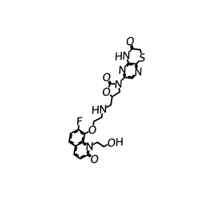 O=C1CSc2ncc(N3CC(CNCCOc4c(F)ccc5ccc(=O)n(CCO)c45)OC3=O)nc2N1